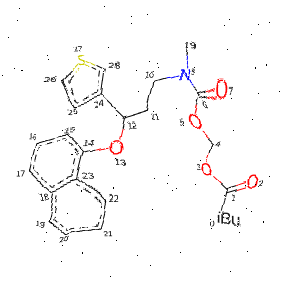 CCC(C)C(=O)OCOC(=O)N(C)CCC(Oc1cccc2ccccc12)c1ccsc1